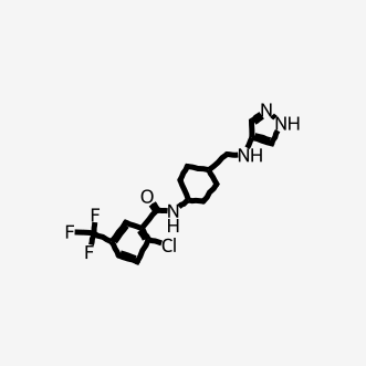 O=C(NC1CCC(CNc2cn[nH]c2)CC1)c1cc(C(F)(F)F)ccc1Cl